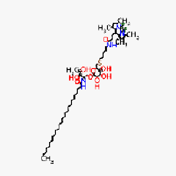 CCCCCCCCCCCCCCCCCCCCCCCCCC(=O)N[C@@H](CO[C@H]1OC(CSCCCCCNC(=O)CCC2=C3C(C)=CC(C)=[N+]3[B-](F)(F)n3c(C)cc(C)c32)[C@H](O)C(O)C1O)[C@H](O)[C@@H](C)O